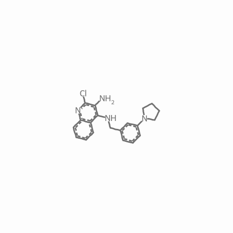 Nc1c(Cl)nc2ccccc2c1NCc1cccc(N2CCCC2)c1